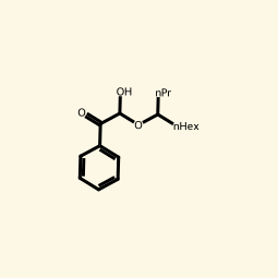 CCCCCCC(CCC)OC(O)C(=O)c1ccccc1